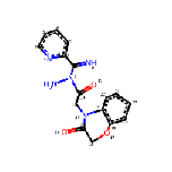 N=C(c1ccccn1)N(N)C(=O)CN1C(=O)COc2ccccc21